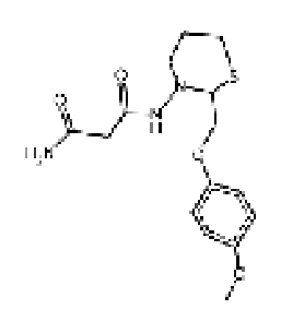 COc1ccc(OCC2SCCCN2NC(=O)CC(N)=O)cc1